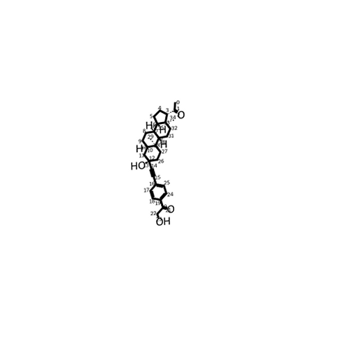 CC(=O)[C@H]1CC[C@H]2[C@@H]3CC[C@@H]4C[C@@](O)(C#Cc5ccc(C(=O)CO)cc5)CC[C@]4(C)[C@H]3CC[C@]12C